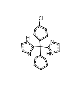 Clc1ccc(C(c2ccccc2)(c2ncc[nH]2)c2ncc[nH]2)cc1